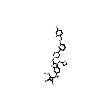 CNc1c(Nc2ccc3c(c2)nc(CN2CCC(c4cccc(OCc5ccc(Cl)cc5F)n4)CC2)n3CC2CCO2)c(=O)c1=O